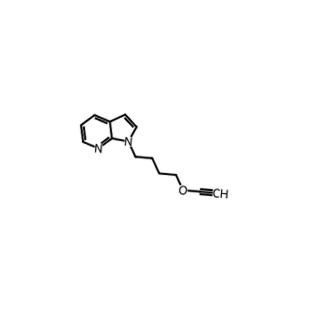 C#COCCCCn1ccc2cccnc21